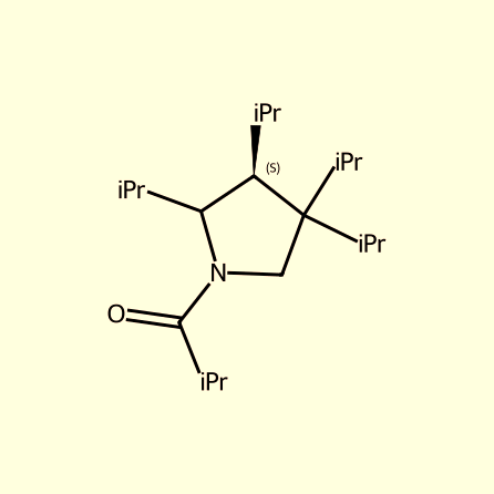 CC(C)C(=O)N1CC(C(C)C)(C(C)C)[C@H](C(C)C)C1C(C)C